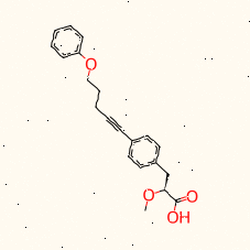 CO[C@@H](Cc1ccc(C#CCCCOc2ccccc2)cc1)C(=O)O